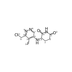 O=C1CCC(Nc2cnnc(CCl)c2F)C(=O)N1